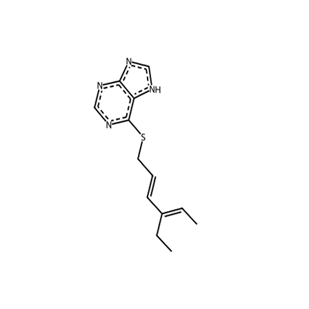 CC=C(C=CCSc1ncnc2nc[nH]c12)CC